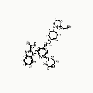 FC[C@@H]1CCCN1[C@H]1CC[C@H](COc2cc(-n3c(C(F)F)nc4ccccc43)nc(N3CCOCC3)n2)CC1